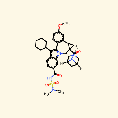 COc1ccc2c(c1)C1CC1(C(=O)N1[C@@H]3C[C@H]1CN(C)C3)Cn1c-2c(C2CCCCC2)c2ccc(C(=O)NS(=O)(=O)N(C)C)cc21